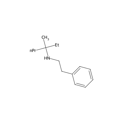 CCCC(C)(CC)NCCc1ccccc1